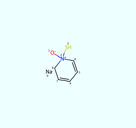 [Na].[O-][N+]1(S)C=CC=CC1